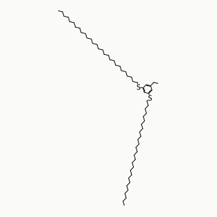 CCCCCCCCCCCCCCCCCCCCCCCCCCCCSc1cc(CC)cc(SCCCCCCCCCCCCCCCCCCCCCCCCCCCC)c1